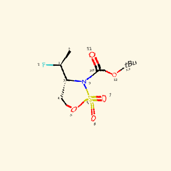 C[C@H](F)[C@H]1COS(=O)(=O)N1C(=O)OC(C)(C)C